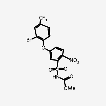 COC(=O)NS(=O)(=O)c1cc(Oc2ccc(C(F)(F)F)cc2Br)ccc1[N+](=O)[O-]